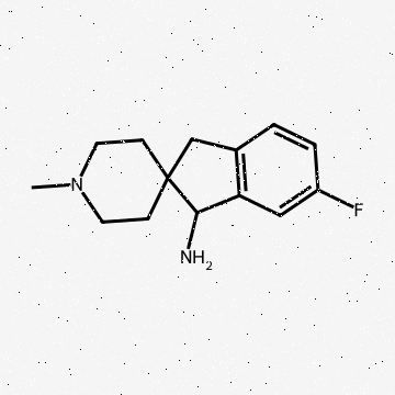 CN1CCC2(CC1)Cc1ccc(F)cc1C2N